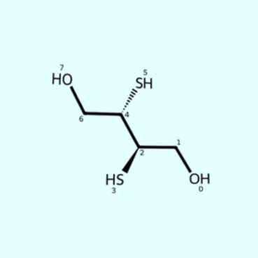 OC[C@@H](S)[C@@H](S)CO